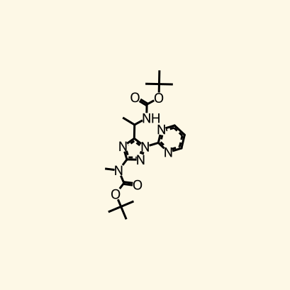 CC(NC(=O)OC(C)(C)C)c1nc(N(C)C(=O)OC(C)(C)C)nn1-c1ncccn1